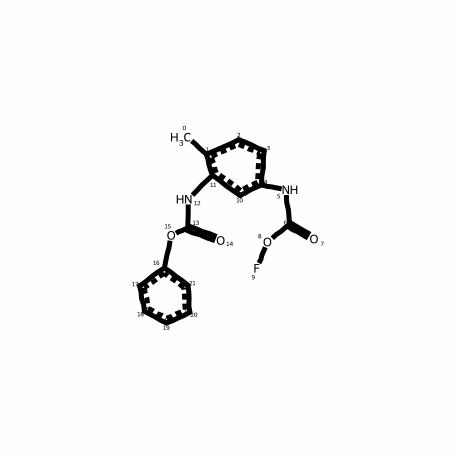 Cc1ccc(NC(=O)OF)cc1NC(=O)Oc1ccccc1